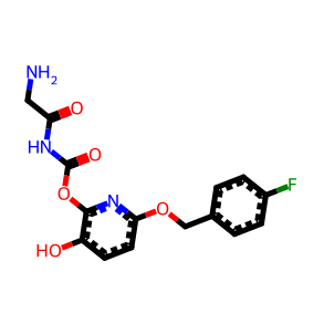 NCC(=O)NC(=O)Oc1nc(OCc2ccc(F)cc2)ccc1O